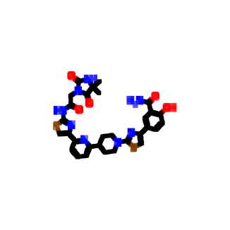 CC1(C)NC(=O)N(CC(=O)Nc2nc(-c3cccc(C4CCN(c5nc(-c6ccc(O)c(C(N)=O)c6)cs5)CC4)n3)cs2)C1=O